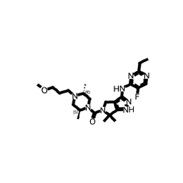 CCc1ncc(F)c(Nc2n[nH]c3c2CN(C(=O)N2C[C@@H](C)N(CCCOC)C[C@@H]2C)C3(C)C)n1